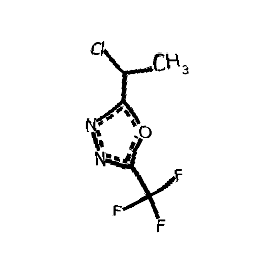 CC(Cl)c1nnc(C(F)(F)F)o1